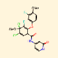 COc1ccc(OC2=C(F)C(Cl)(OC)C(Cl)=CC2C(=O)Nc2cc[nH]c(=O)c2)cc1F